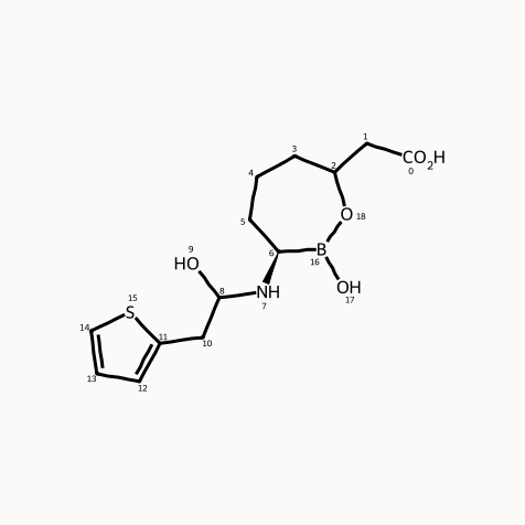 O=C(O)CC1CCC[C@H](NC(O)Cc2cccs2)B(O)O1